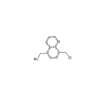 N#CCc1ccc(CCl)c2ncccc12